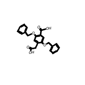 O=C(O)Cc1cc(OCc2ccccc2)c(C(=O)O)cc1OCc1ccccc1